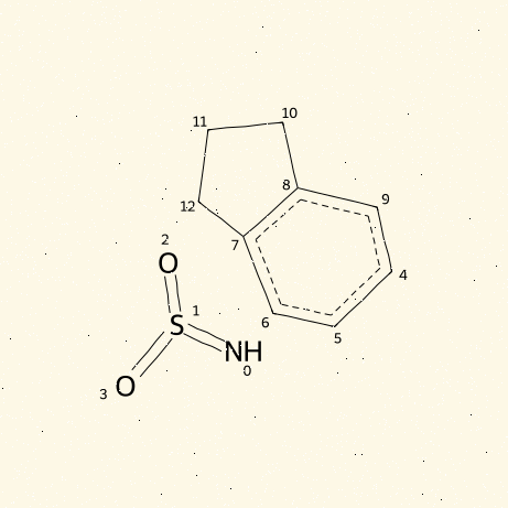 N=S(=O)=O.c1ccc2c(c1)CCC2